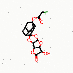 O=C(CF)OC12CC3CC(C1)C1(OC4OC5C(O)C(=O)OC5C4O1)C(C3)C2